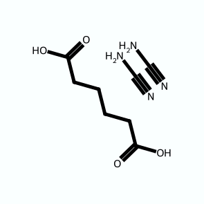 N#CN.N#CN.O=C(O)CCCCC(=O)O